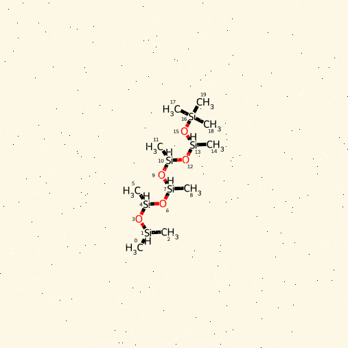 C[SiH](C)O[SiH](C)O[SiH](C)O[SiH](C)O[SiH](C)O[Si](C)(C)C